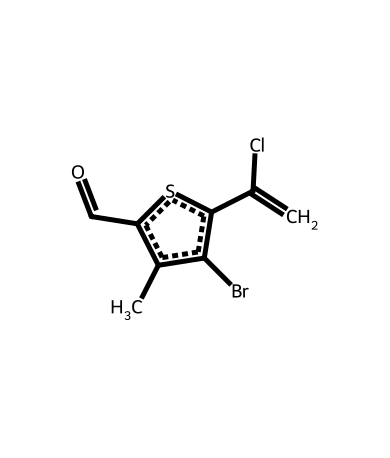 C=C(Cl)c1sc(C=O)c(C)c1Br